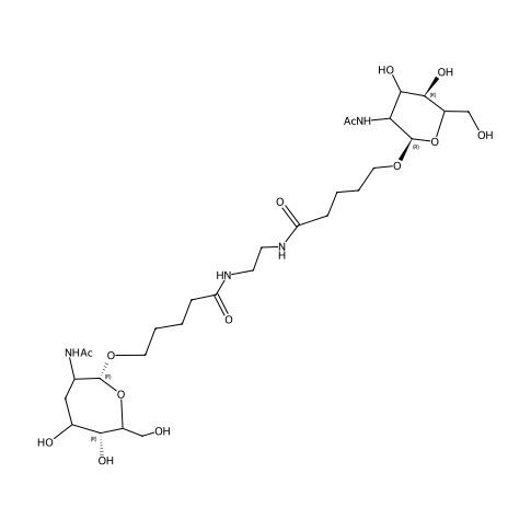 CC(=O)NC1CC(O)[C@@H](O)C(CO)O[C@H]1OCCCCC(=O)NCCNC(=O)CCCCO[C@@H]1OC(CO)[C@H](O)C(O)C1NC(C)=O